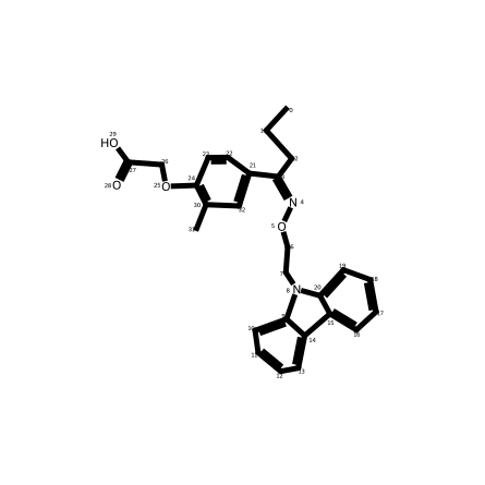 CCCC(=NOCCn1c2ccccc2c2ccccc21)c1ccc(OCC(=O)O)c(C)c1